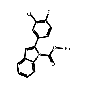 CC(C)(C)OC(=O)n1c(-c2ccc(Cl)c(Cl)c2)cc2ccccc21